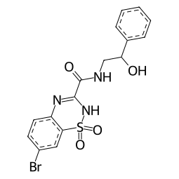 O=C(NCC(O)c1ccccc1)C1=Nc2ccc(Br)cc2S(=O)(=O)N1